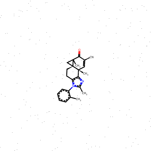 Cc1ccccc1-n1c(C)nc2c1CC[C@@]13CC1(C)C(=O)C(C#N)=C[C@]23C